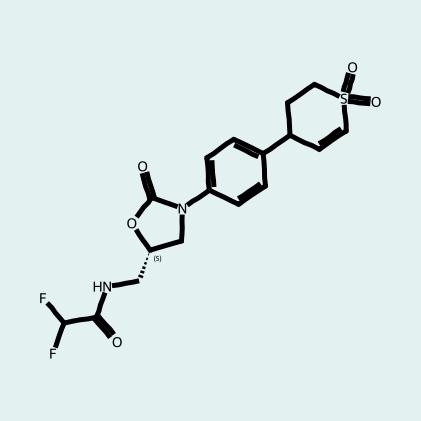 O=C(NC[C@H]1CN(c2ccc(C3C=CS(=O)(=O)CC3)cc2)C(=O)O1)C(F)F